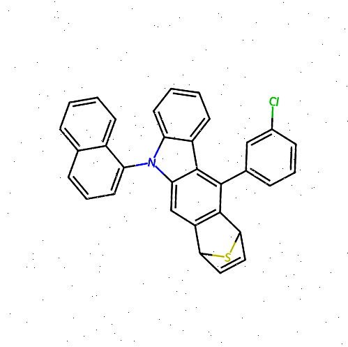 Clc1cccc(-c2c3c(cc4c2c2ccccc2n4-c2cccc4ccccc24)C2C=CC3S2)c1